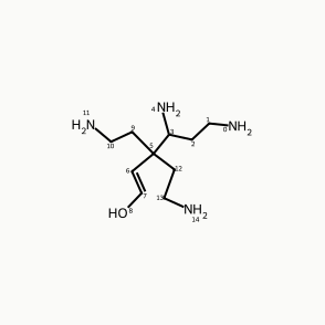 NCCC(N)C(C=CO)(CCN)CCN